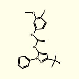 COc1cc(NC(=O)Nc2cc(C(F)(F)F)nn2-c2ccccc2)ccc1F